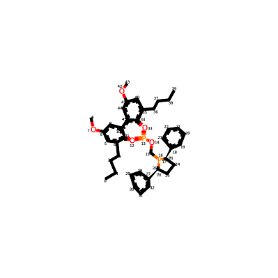 CCCCc1cc(OC)cc2c1op(OCP1[C@@H](c3ccccc3)CC[C@H]1c1ccccc1)oc1c(CCCC)cc(OC)cc12